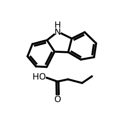 CCCC(=O)O.c1ccc2c(c1)[nH]c1ccccc12